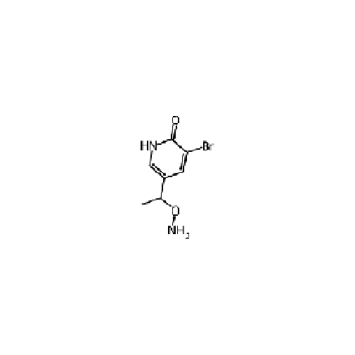 CC(ON)c1c[nH]c(=O)c(Br)c1